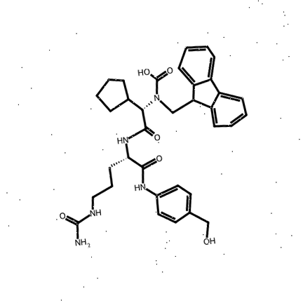 NC(=O)NCCC[C@H](NC(=O)[C@H](C1CCCC1)N(CC1c2ccccc2-c2ccccc21)C(=O)O)C(=O)Nc1ccc(CO)cc1